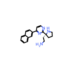 NCC[C@@]1(c2nccc(-c3ccc4ccccc4c3)n2)CCCN1